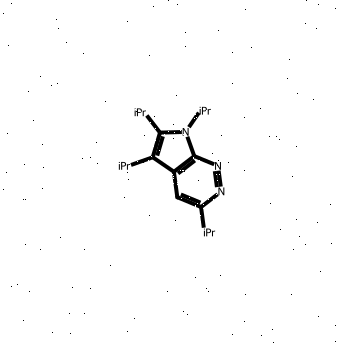 CC(C)c1cc2c(C(C)C)c(C(C)C)n(C(C)C)c2nn1